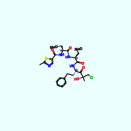 COC[C@H](NC(=O)c1cnc(C)s1)C(=O)N[C@@H](COC)C(=O)N[C@@H](CCc1ccccc1)C(=O)C(C)(O)CCl